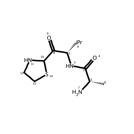 CC(C)[C@H](NC(=O)[C@H](C)N)C(=O)C1NCCS1